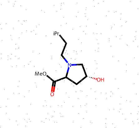 COC(=O)C1C[C@@H](O)CN1CCC(C)C